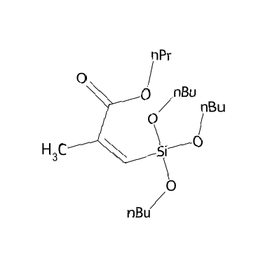 CCCCO[Si](C=C(C)C(=O)OCCC)(OCCCC)OCCCC